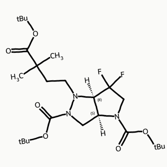 CC(C)(C)OC(=O)N1CC(F)(F)[C@H]2[C@@H]1CN(C(=O)OC(C)(C)C)N2CCC(C)(C)C(=O)OC(C)(C)C